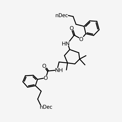 CCCCCCCCCCCCc1ccccc1OC(=O)NCC1(C)CC(NC(=O)Oc2ccccc2CCCCCCCCCCCC)CC(C)(C)C1